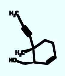 CC#C[C@]1(C)CCC=C[C@@H]1CO